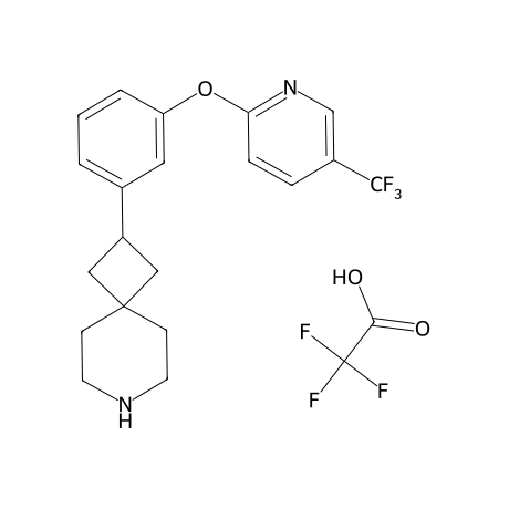 FC(F)(F)c1ccc(Oc2cccc(C3CC4(CCNCC4)C3)c2)nc1.O=C(O)C(F)(F)F